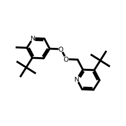 Cc1ncc(OOCc2ncccc2C(C)(C)C)cc1C(C)(C)C